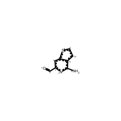 Nc1nc(C=O)cc2sccc12